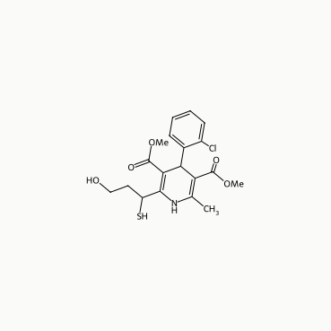 COC(=O)C1=C(C)NC(C(S)CCO)=C(C(=O)OC)C1c1ccccc1Cl